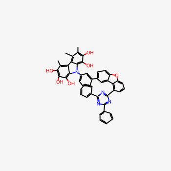 Cc1c(O)c(O)c2c(c1C)c1c(C)c(O)c(O)c(O)c1n2-c1cccc(-c2ccc3oc4cccc(-c5nc(-c6ccccc6)nc(-c6ccccc6)n5)c4c3c2)c1